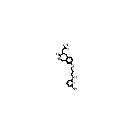 Nc1cccc(NCCCOc2ccc3c(c2)CNC(=O)C(CC(=O)O)C3)n1